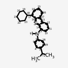 CC(C)c1ccc(N(I)c2cccc3c2sc2c(C4CCCCC4)cccc23)cc1